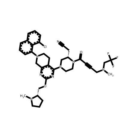 CN(CC#CC(=O)N1CCN(c2nc(OC[C@@H]3CCCN3C)nc3c2CCN(c2cccc4cccc(Cl)c24)C3)C[C@@H]1CC#N)CC(F)(F)F